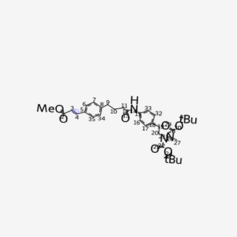 COC(=O)/C=C/c1ccc(CCCC(=O)Nc2ccc(CCN(C(=O)OC(C)(C)C)N(C)C(=O)OC(C)(C)C)cc2)cc1